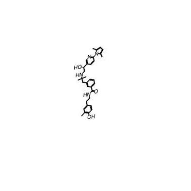 Cc1cc(CCNC(=O)c2cccc(CC(C)(C)NC[C@@H](O)c3ccc(-n4c(C)ccc4C)nc3)c2)ccc1O